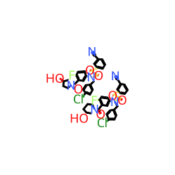 N#Cc1cccc(S(=O)(=O)N(Cc2ccc(Cl)cc2)c2ccc(F)c(C(=O)N3CCC(O)C3)c2)c1.N#Cc1cccc(S(=O)(=O)N(Cc2ccc(Cl)cc2)c2ccc(F)c(C(=O)N3CCCC(O)C3)c2)c1